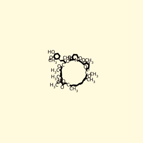 COC1C(=O)C2CC(C)/C=C/C=C/C=C(\C)[C@@H](OC)C[C@@H]3CC[C@@H](C)[C@@](O)(O3)C(=O)C(=O)N3CCCC[C@H]3C(=O)O[C@H]([C@H](C)C[C@@H]3CC[C@@H](O)[C@H](OC)C3)CC(=O)C(C)/C=C(\C)[C@H]1O2